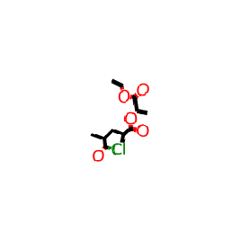 CCOC(=O)C(C)OC(=O)C(C)CC(C)C(=O)Cl